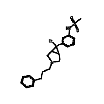 CCC1(c2cccc(NS(C)(=O)=O)c2)C2CN(CCCc3ccccc3)CC21